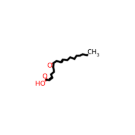 CCCCCCCCC=CCC1OC1CC/C=C\C(=O)O